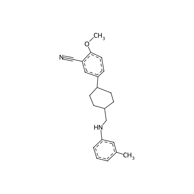 COc1ccc(C2CCC(CNc3cccc(C)c3)CC2)cc1C#N